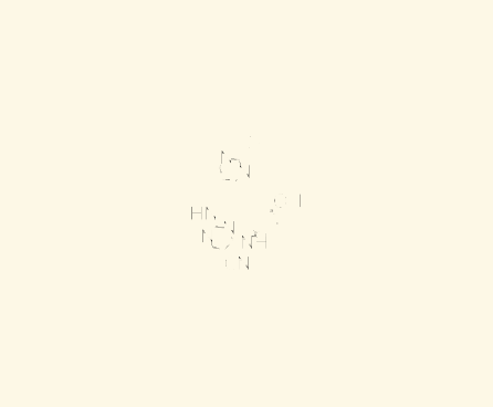 CC1(C)C[C@H](Nc2nc(NCCc3cnc(C4CC4)nc3)ncc2C#N)CC[C@@H]1O